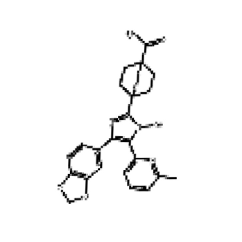 Cc1cccc(-c2c(-c3ccc4c(c3)OCO4)nc(C34CCC(C(N)=O)(CC3)CC4)n2O)n1